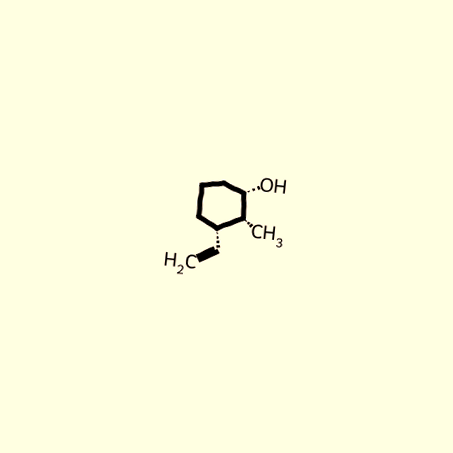 C=C[C@@H]1CCC[C@H](O)[C@@H]1C